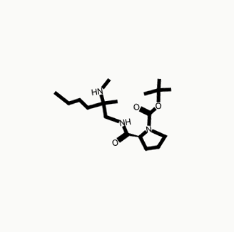 CCCCC(C)(CNC(=O)[C@@H]1CCCN1C(=O)OC(C)(C)C)NC